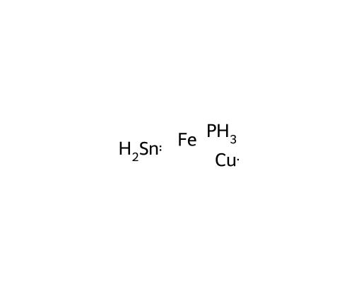 P.[Cu].[Fe].[SnH2]